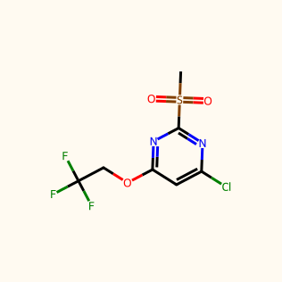 CS(=O)(=O)c1nc(Cl)cc(OCC(F)(F)F)n1